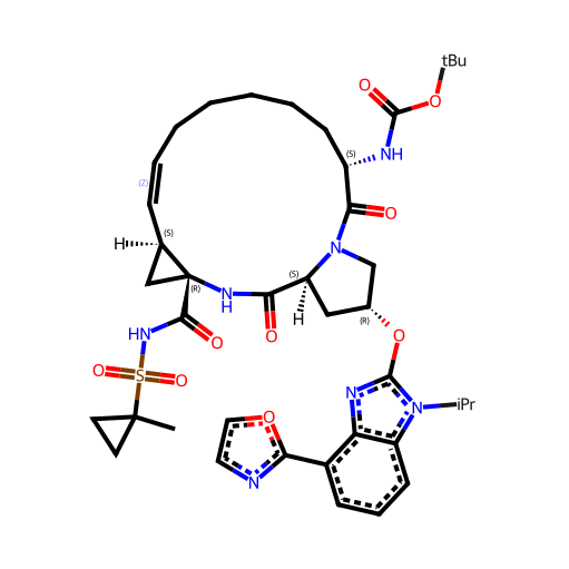 CC(C)n1c(O[C@@H]2C[C@H]3C(=O)N[C@]4(C(=O)NS(=O)(=O)C5(C)CC5)C[C@H]4/C=C\CCCCC[C@H](NC(=O)OC(C)(C)C)C(=O)N3C2)nc2c(-c3ncco3)cccc21